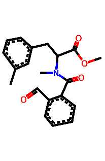 COC(=O)C(Cc1cccc(C)c1)N(C)C(=O)c1ccccc1C=O